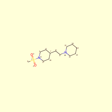 CS(=O)(=O)N1CCC(CCN2CCCCC2)CC1